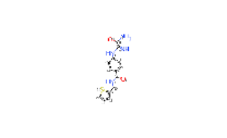 N=C(Nc1ccc(C(=O)NCc2cccs2)cc1)C(N)=O